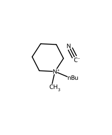 CCCC[N+]1(C)CCCCC1.[C-]#N